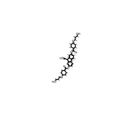 C#CC1c2cc(OC(=O)C3CCC(OCCCO)CC3)ccc2-c2ccc(OC(=O)C3CCC(OCCCO)CC3)cc21